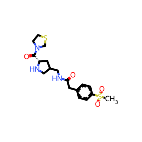 CS(=O)(=O)c1ccc(CC(=O)NCC2CN[C@H](C(=O)N3CCSC3)C2)cc1